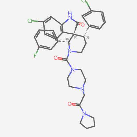 O=C(CN1CCN(C(=O)N2CC[C@@H](c3cccc(Cl)c3)[C@]3(C(=O)Nc4cc(Cl)ccc43)[C@H]2c2cccc(F)c2)CC1)N1CCCC1